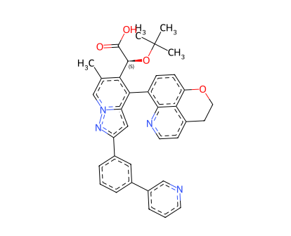 Cc1cn2nc(-c3cccc(-c4cccnc4)c3)cc2c(-c2ccc3c4c(ccnc24)CCO3)c1[C@H](OC(C)(C)C)C(=O)O